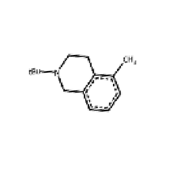 Cc1cccc2c1CCN(C(C)(C)C)C2